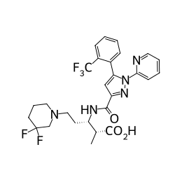 C[C@@H](C(=O)O)[C@H](CCN1CCCC(F)(F)C1)NC(=O)c1cc(-c2ccccc2C(F)(F)F)n(-c2ccccn2)n1